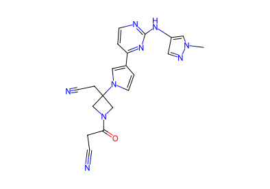 Cn1cc(Nc2nccc(-c3ccn(C4(CC#N)CN(C(=O)CC#N)C4)c3)n2)cn1